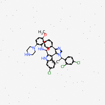 COc1ccc(N2CCNCC2)c(NC(=O)c2[nH]c3cc(Cl)ccc3c2-c2c(-c3ccccc3)ncn2C(C)c2ccc(Cl)cc2Cl)c1